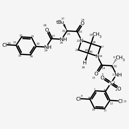 C[C@H](NS(=O)(=O)c1cc(Cl)ccc1Cl)C(=O)N1CC2(C)[C@H]1CN2C(=O)[C@@H](NC(=O)Nc1ccc(Cl)cc1)C(C)(C)C